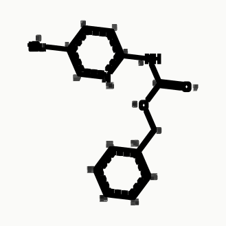 CC(C)(C)c1ccc(NC(=O)OCc2ccccc2)nc1